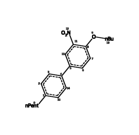 CCCCCc1ccc(-c2ccc(OCCCC)c([N+](=O)[O-])c2)cc1